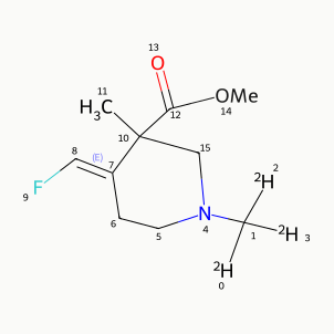 [2H]C([2H])([2H])N1CC/C(=C\F)C(C)(C(=O)OC)C1